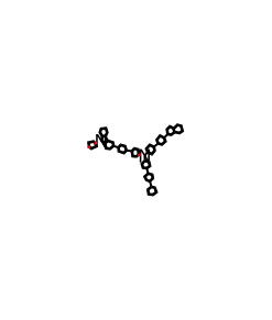 c1ccc(-c2ccc(-c3ccc(N(c4ccc(-c5ccc(-c6ccc7ccccc7c6)cc5)cc4)c4ccc(-c5ccc(-c6ccc7c(c6)c6ccccc6n7-c6ccccc6)cc5)cc4)cc3)cc2)cc1